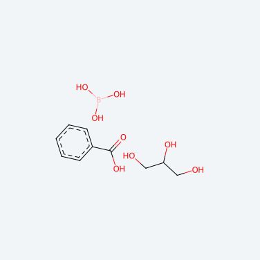 O=C(O)c1ccccc1.OB(O)O.OCC(O)CO